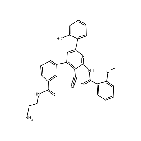 COc1ccccc1C(=O)Nc1nc(-c2ccccc2O)cc(-c2cccc(C(=O)NCCN)c2)c1C#N